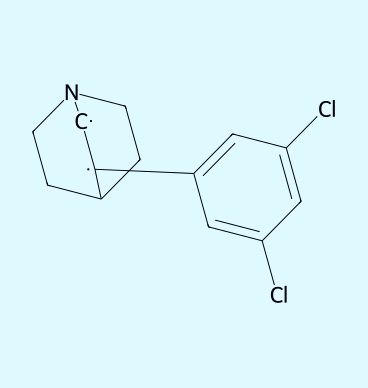 Clc1cc(Cl)cc([C]2[CH]N3CCC2CC3)c1